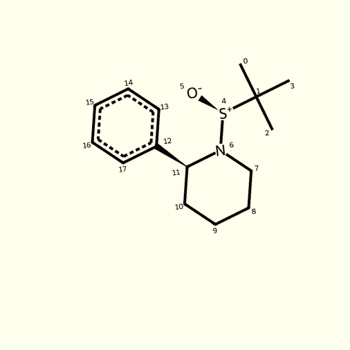 CC(C)(C)[S@+]([O-])N1CCCC[C@H]1c1ccccc1